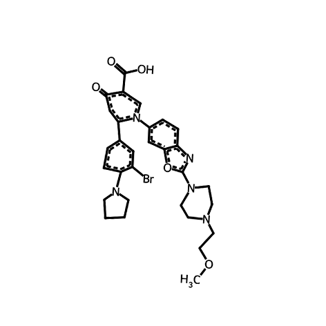 COCCN1CCN(c2nc3ccc(-n4cc(C(=O)O)c(=O)cc4-c4ccc(N5CCCC5)c(Br)c4)cc3o2)CC1